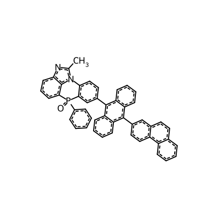 Cc1nc2cccc3c2n1-c1ccc(-c2c4ccccc4c(-c4ccc5c(ccc6ccccc65)c4)c4ccccc24)cc1P3(=O)c1ccccc1